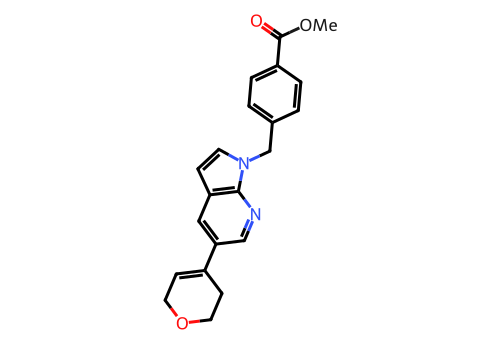 COC(=O)c1ccc(Cn2ccc3cc(C4=CCOCC4)cnc32)cc1